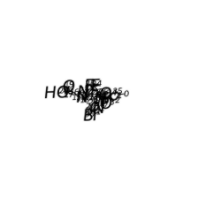 Cc1ccc(S(=O)(=O)n2c(C)c(-c3cn(CCCC(=O)O)nc3C(F)(F)F)c3cc(Br)cnc32)cc1